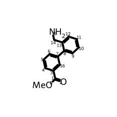 COC(=O)c1cccc(-c2ccccc2CN)c1